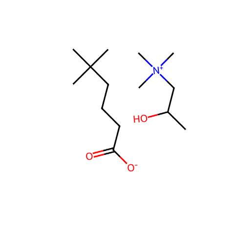 CC(C)(C)CCCC(=O)[O-].CC(O)C[N+](C)(C)C